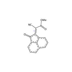 COC(=O)/C(C#N)=c1/c(=O)c2cccc3cccc1c32